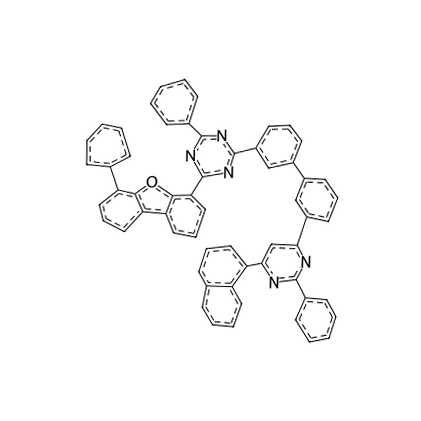 c1ccc(-c2nc(-c3cccc(-c4cccc(-c5nc(-c6ccccc6)nc(-c6cccc7c6oc6c(-c8ccccc8)cccc67)n5)c4)c3)cc(-c3cccc4ccccc34)n2)cc1